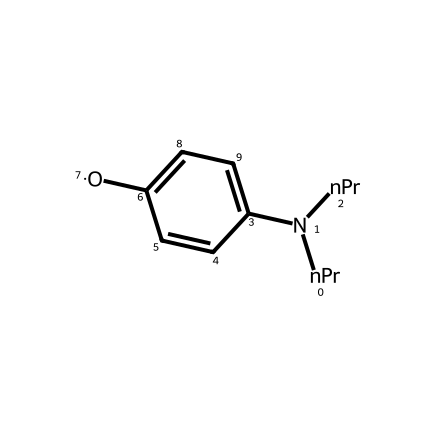 CCCN(CCC)c1ccc([O])cc1